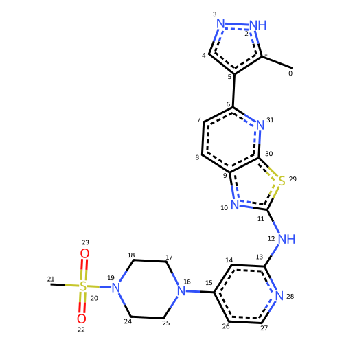 Cc1[nH]ncc1-c1ccc2nc(Nc3cc(N4CCN(S(C)(=O)=O)CC4)ccn3)sc2n1